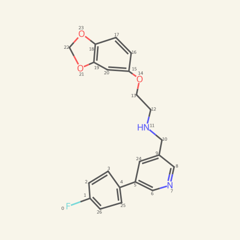 Fc1ccc(-c2cncc(CNCCOc3ccc4c(c3)OCO4)c2)cc1